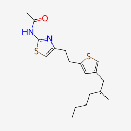 CCCC[C](C)Cc1csc(CCc2csc(NC(C)=O)n2)c1